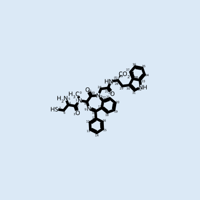 CN(C(=O)C(N)CS)C1N=C(c2ccccc2)c2ccccc2N(CC(=O)N[C@@H](Cc2c[nH]c3ccccc23)C(=O)O)C1=O